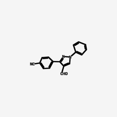 N#Cc1ccc(-c2nn(-c3ccccc3)cc2C=O)cc1